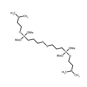 CO[Si](CCCSSCCC[Si](OC)(OC)OCCN(C)C)(OC)OCCN(C)C